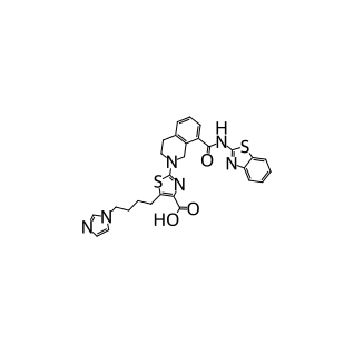 O=C(Nc1nc2ccccc2s1)c1cccc2c1CN(c1nc(C(=O)O)c(CCCCn3ccnc3)s1)CC2